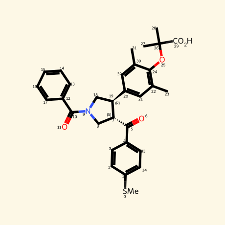 CSc1ccc(C(=O)[C@@H]2CN(C(=O)c3ccccc3)C[C@H]2c2cc(C)c(OC(C)(C)C(=O)O)c(C)c2)cc1